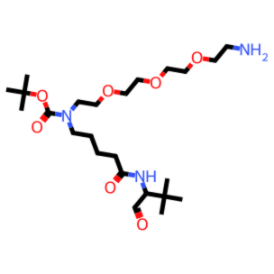 CC(C)(C)OC(=O)N(CCCCC(=O)NC(C=O)C(C)(C)C)CCOCCOCCOCCN